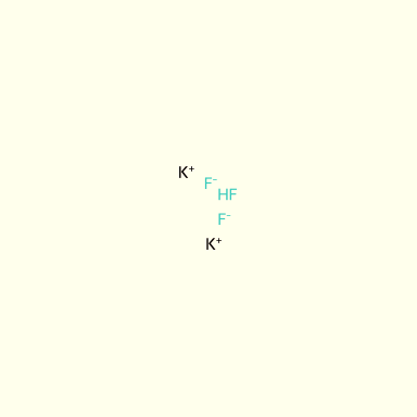 F.[F-].[F-].[K+].[K+]